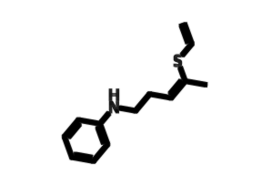 C=CS/C(C)=C\CCNc1ccccc1